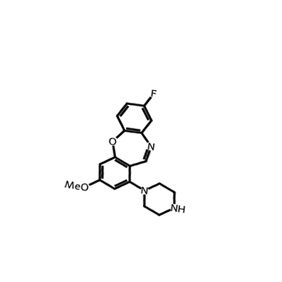 COc1cc2c(c(N3CCNCC3)c1)C=Nc1cc(F)ccc1O2